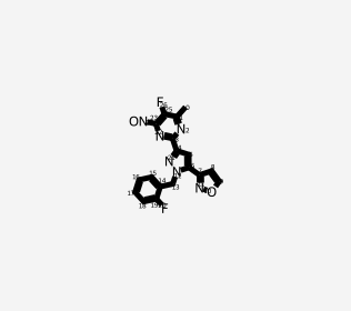 Cc1nc(-c2cc(-c3ccon3)n(Cc3ccccc3F)n2)nc(N=O)c1F